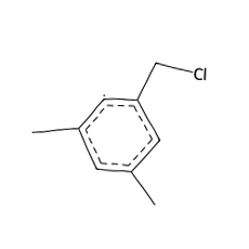 Cc1[c]c(CCl)cc(C)c1